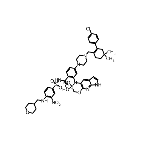 CC1(C)CCC(CN2CCN(c3ccc(C(=O)NS(=O)(=O)c4ccc(NCC5CCOCC5)c([N+](=O)[O-])c4)c(N4c5cc6cc[nH]c6nc5OCS4(O)O)c3)CC2)=C(c2ccc(Cl)cc2)C1